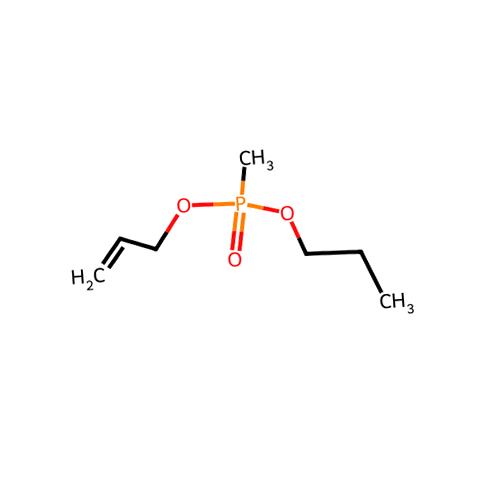 C=CCOP(C)(=O)OCCC